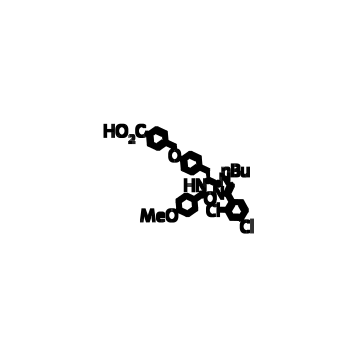 CCCCn1cc(-c2ccc(Cl)cc2Cl)nc1[C@H](Cc1ccc(OCc2ccc(C(=O)O)cc2)cc1)NC(=O)C1CCC(OC)CC1